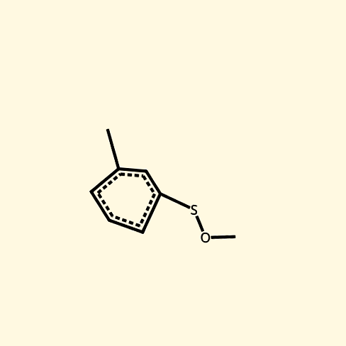 COSc1cccc(C)c1